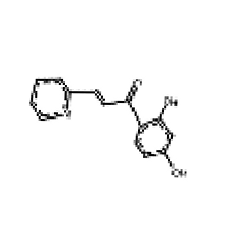 O=C(C=Cc1ccccn1)c1ccc(O)cc1O